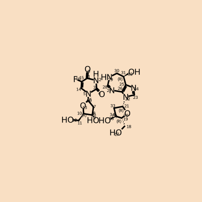 O=c1[nH]c(=O)n([C@H]2C[C@H](O)[C@@H](CO)O2)cc1F.OC[C@H]1O[C@@H](n2cnc3c2N=CNC[C@H]3O)C[C@@H]1O